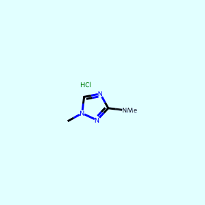 CNc1ncn(C)n1.Cl